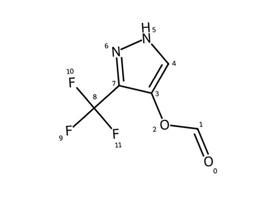 O=COc1c[nH]nc1C(F)(F)F